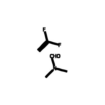 C=C(F)F.CN(C)C=O